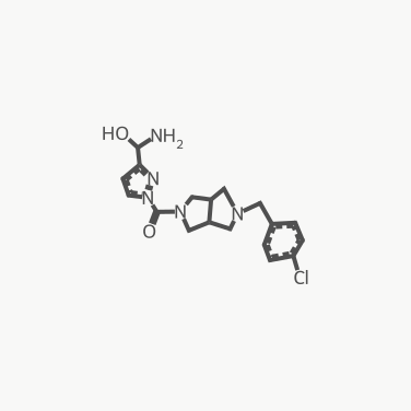 NC(O)c1ccn(C(=O)N2CC3CN(Cc4ccc(Cl)cc4)CC3C2)n1